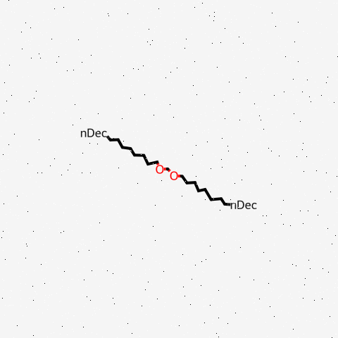 CCCCCCCCCCCCCCCCCCOCOCCCCCCCCCCCCCCCCCC